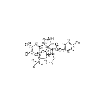 CC1(C(=O)C2CCCCN2C(=O)[C@]2(NC(=O)Oc3ccc(F)cc3)CNC[C@@H]2c2ccc(Cl)c(Cl)c2)CC1